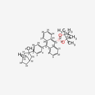 CC1(c2ccc(-c3c4ccccc4c(B4OC(C)(C)C(C)(C)O4)c4ccccc34)cc2)CC2CC[C@@H](C2)C1